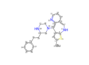 CC(C)(C)c1cc2c(s1)NC=c1cccnc1=C2N1CCNC(CCc2ccccc2)C1